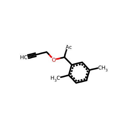 C#CCOC(C(C)=O)c1cc(C)ccc1C